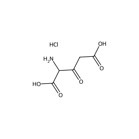 Cl.NC(C(=O)O)C(=O)CC(=O)O